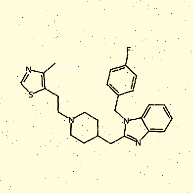 Cc1ncsc1CCN1CCC(Cc2nc3ccccc3n2Cc2ccc(F)cc2)CC1